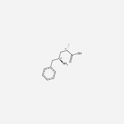 C[C@@H](C[C@@H](N)Cc1ccccc1)C(=O)O